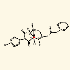 O=C(Oc1ccccc1)ON1C[C@@H]2C=C[C@H]1[C@@H]1C(=O)N(c3ccc(Br)cc3)C(=O)[C@@H]12